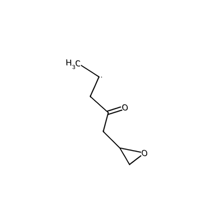 C[CH]CC(=O)CC1CO1